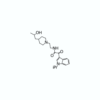 CC(O)CC1CCN(CCNC(=O)C(=O)c2cn(C(C)C)c3ccccc23)CC1